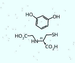 O=C(O)CN[C@@H](CS)C(=O)O.Oc1cccc(O)c1